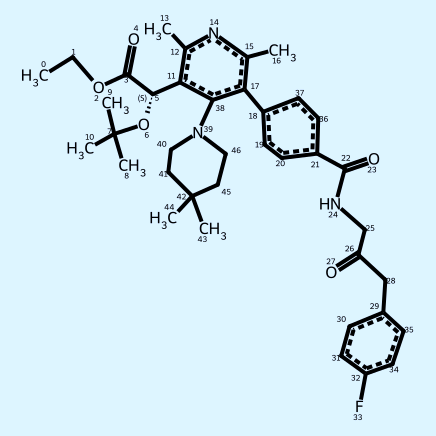 CCOC(=O)[C@@H](OC(C)(C)C)c1c(C)nc(C)c(-c2ccc(C(=O)NCC(=O)Cc3ccc(F)cc3)cc2)c1N1CCC(C)(C)CC1